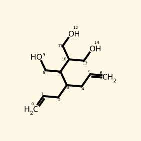 C=CCC(CC=C)C(CO)C(CO)CO